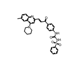 Cc1ccc2nc(C=CC(=O)c3ccc(NC(=O)NS(=O)(=O)c4ccccc4)cc3)cc(N3CCCCC3)c2c1